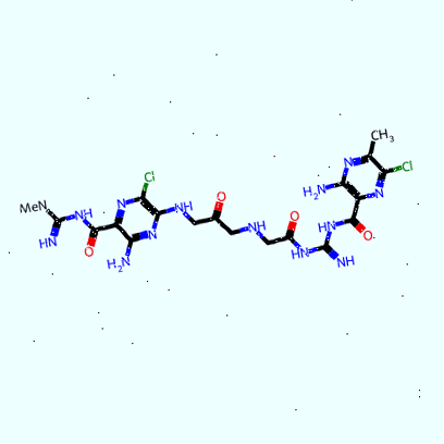 CNC(=N)NC(=O)c1nc(Cl)c(NCC(=O)CNCC(=O)NC(=N)NC(=O)c2nc(Cl)c(C)nc2N)nc1N